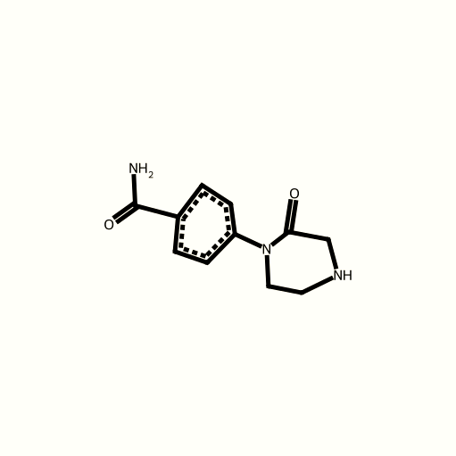 NC(=O)c1ccc(N2CCNCC2=O)cc1